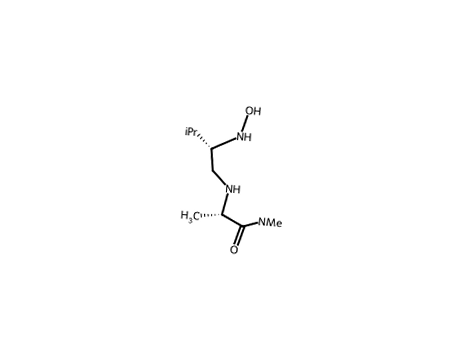 CNC(=O)[C@H](C)NC[C@@H](NO)C(C)C